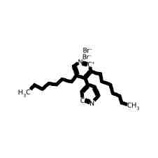 CCCCCCCC1=CN=[C+]C(CCCCCCC)=C1C1=C[C+]=NC=C1.[Br-].[Br-]